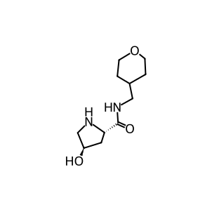 O=C(NCC1CCOCC1)[C@@H]1C[C@@H](O)CN1